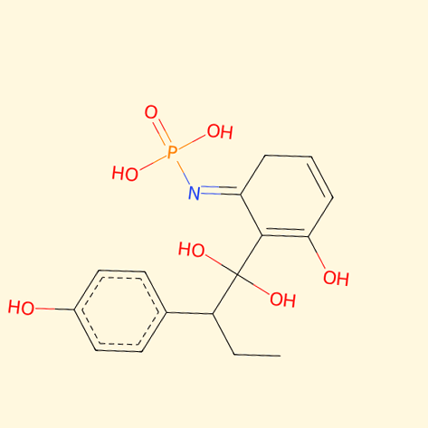 CCC(c1ccc(O)cc1)C(O)(O)C1=C(O)C=CCC1=NP(=O)(O)O